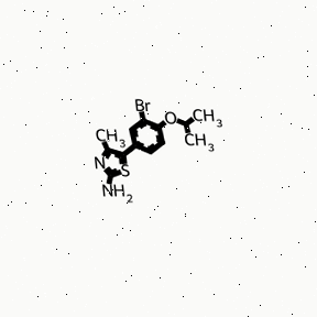 Cc1nc(N)sc1-c1ccc(OC(C)C)c(Br)c1